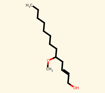 CCCCCCCCC(CC=CCO)OC